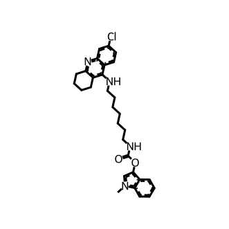 Cn1cc(OC(=O)NCCCCCCCNc2c3c(nc4cc(Cl)ccc24)CCCC3)c2ccccc21